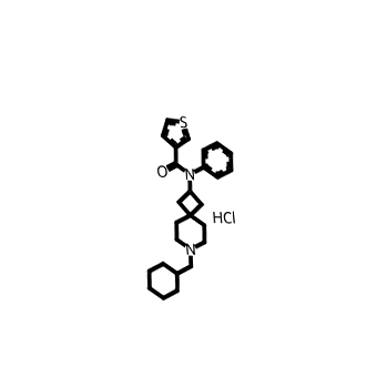 Cl.O=C(c1ccsc1)N(c1ccccc1)C1CC2(CCN(CC3CCCCC3)CC2)C1